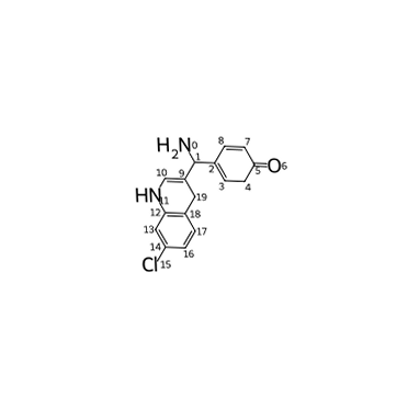 NC(C1=CCC(=O)C=C1)C1=CNc2cc(Cl)ccc2C1